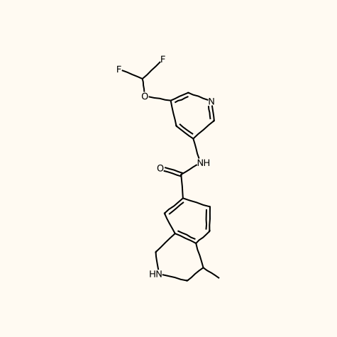 CC1CNCc2cc(C(=O)Nc3cncc(OC(F)F)c3)ccc21